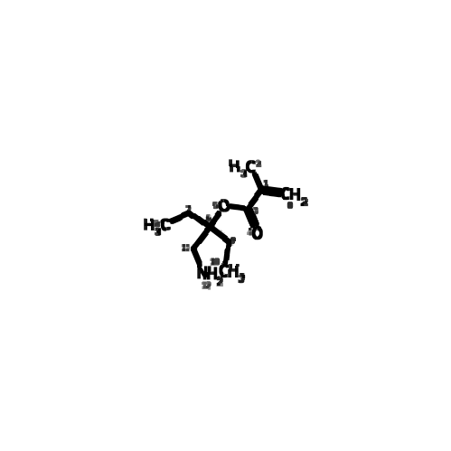 C=C(C)C(=O)OC(CC)(CC)CN